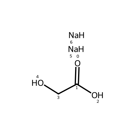 O=C(O)CO.[NaH].[NaH]